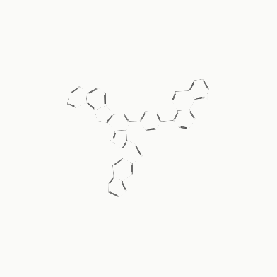 c1ccc2cc3c(ccc4c3nc3c5sc6c7ccccc7ccc6c5cc(-c5ccc(-c6cccc7c6ccc6cccnc67)cc5)n43)cc2c1